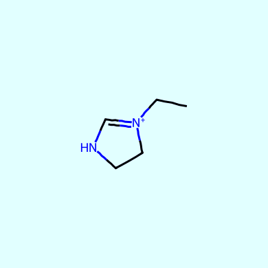 CC[N+]1=CNCC1